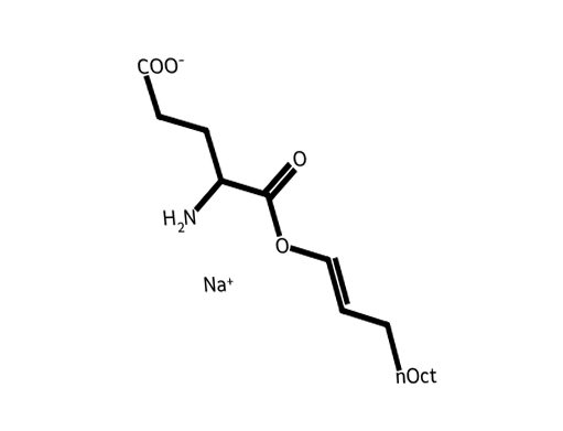 CCCCCCCCC/C=C/OC(=O)C(N)CCC(=O)[O-].[Na+]